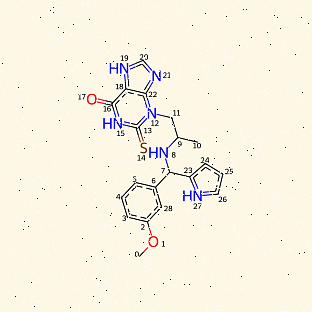 COc1cccc(C(NC(C)Cn2c(=S)[nH]c(=O)c3[nH]cnc32)c2ccc[nH]2)c1